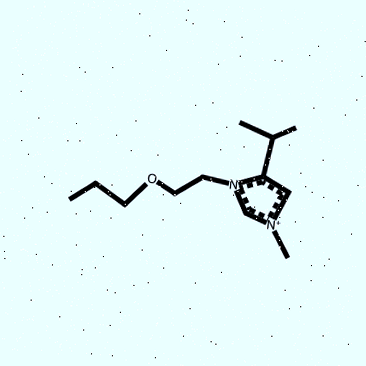 CCCOCCn1c[n+](C)cc1C(C)C